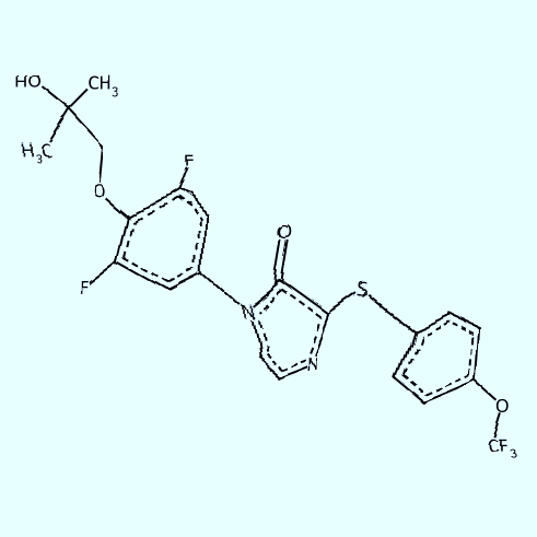 CC(C)(O)COc1c(F)cc(-n2ccnc(Sc3ccc(OC(F)(F)F)cc3)c2=O)cc1F